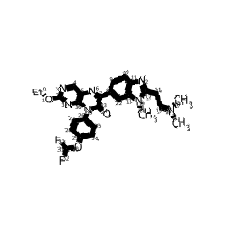 CCOc1ncc2nc(-c3ccc4nc(CCN(C)C)n(C)c4c3)c(=O)n(-c3ccc(OC(F)F)cc3)c2n1